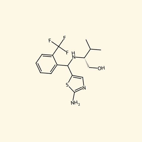 CC(C)[C@H](CO)NC(c1cnc(N)s1)c1ccccc1C(F)(F)F